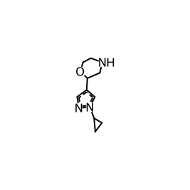 c1nn(C2CC2)cc1C1CNCCO1